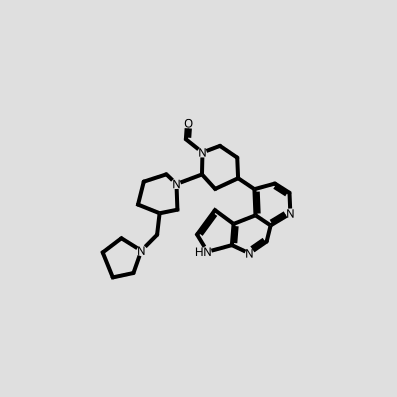 O=CN1CCC(c2ccnc3cnc4[nH]ccc4c23)CC1N1CCCC(CN2CCCC2)C1